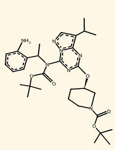 CC(C)c1cnn2c(N(C(=O)OC(C)(C)C)C(C)c3ccccc3N)nc(O[C@@H]3CCCN(C(=O)OC(C)(C)C)C3)nc12